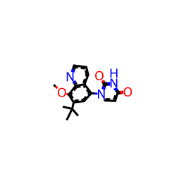 COc1c(C(C)(C)C)cc(-n2ccc(=O)[nH]c2=O)c2cccnc12